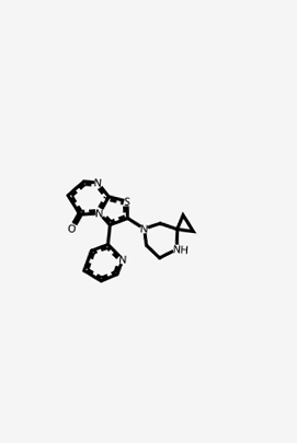 O=c1ccnc2sc(N3CCNC4(CC4)C3)c(-c3ccccn3)n12